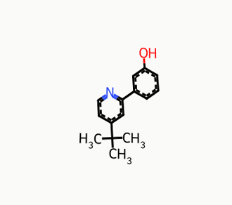 CC(C)(C)c1ccnc(-c2cccc(O)c2)c1